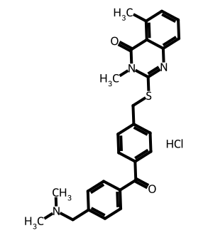 Cc1cccc2nc(SCc3ccc(C(=O)c4ccc(CN(C)C)cc4)cc3)n(C)c(=O)c12.Cl